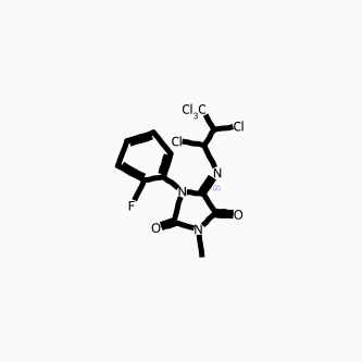 CN1C(=O)/C(=N/C(Cl)C(Cl)C(Cl)(Cl)Cl)N(c2ccccc2F)C1=O